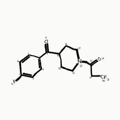 O=C(c1ccc(F)cc1)C1CCN(C(=O)CC(F)(F)F)CC1